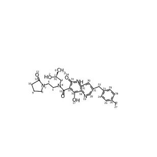 C[C@H](O)CN(CCN1CCCC1=O)C(=O)c1c(O)c2ncc(Cc3ccc(F)cc3)cc2[nH]c1=O